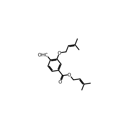 CC(C)=CCOC(=O)c1ccc(C=O)c(OCC=C(C)C)c1